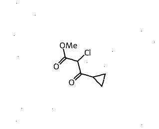 COC(=O)C(Cl)C(=O)C1CC1